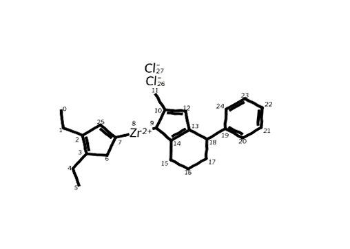 CCC1=C(CC)C[C]([Zr+2][CH]2C(C)=CC3=C2CCCC3c2ccccc2)=C1.[Cl-].[Cl-]